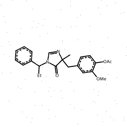 CCC(c1ccccc1)N1C=NC(C)(Cc2ccc(OC(C)=O)c(OC)c2)C1=O